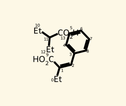 CCC(=Cc1ccccc1)C(=O)O.CCC(CC)C(=O)O